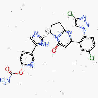 NC(=O)Oc1ccc(-c2cnc([C@@H]3CCc4nc(-c5cc(Cl)ccc5-n5cc(Cl)nn5)cc(=O)n43)[nH]2)cn1